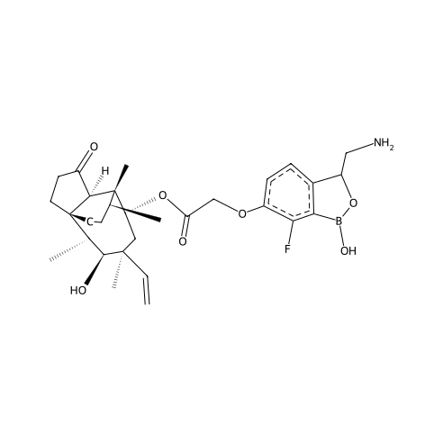 C=C[C@]1(C)C[C@@H](OC(=O)COc2ccc3c(c2F)B(O)OC3CN)[C@]2(C)[C@H](C)CC[C@]3(CCC(=O)[C@H]32)[C@@H](C)[C@@H]1O